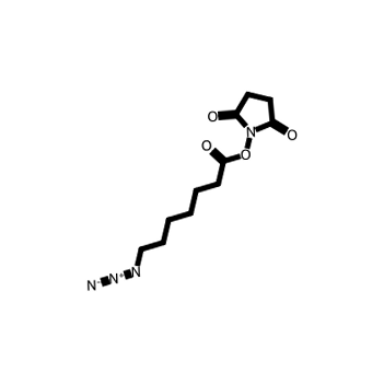 [N-]=[N+]=NCCCCCCC(=O)ON1C(=O)CCC1=O